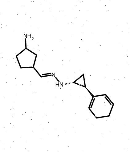 NC1CCC(C=NN[C@@H]2C[C@H]2C2=CCCC=C2)C1